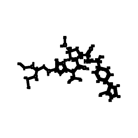 CCOC(COc1cc(C(C(=O)N2C[C@H](OC)C[C@H]2C(=O)N[C@@H](C)c2ccc(-c3scnc3C)cc2)C(C)C)on1)OCC